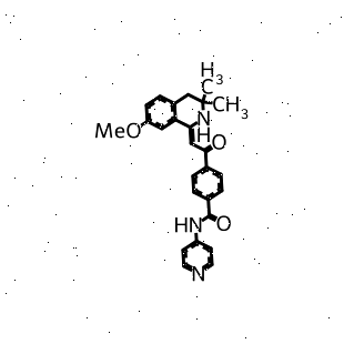 COc1ccc2c(c1)/C(=C/C(=O)c1ccc(C(=O)Nc3ccncc3)cc1)NC(C)(C)C2